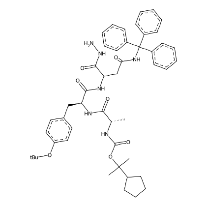 C[C@H](NC(=O)OC(C)(C)C1CCCC1)C(=O)N[C@@H](Cc1ccc(OC(C)(C)C)cc1)C(=O)NC(CC(=O)NC(c1ccccc1)(c1ccccc1)c1ccccc1)C(=O)NN